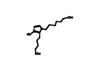 CCCCCCCCCCCCCCCCn1cc[n+](CCCC)c1CCCCCCCCCCCCCC